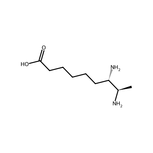 C[C@@H](N)[C@@H](N)CCCCCC(=O)O